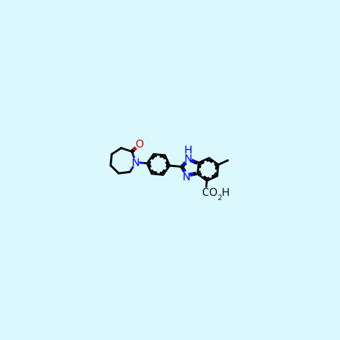 Cc1cc(C(=O)O)c2nc(-c3ccc(N4CCCCCC4=O)cc3)[nH]c2c1